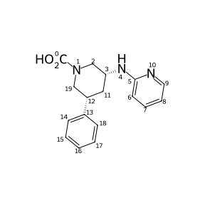 O=C(O)N1C[C@H](Nc2ccccn2)C[C@H](c2ccccc2)C1